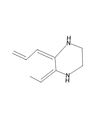 C=C/C=C1/NCCN/C1=C/C